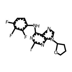 Fc1ccc(Nc2nc(I)nc3c2ncn3C2CCCO2)c(F)c1F